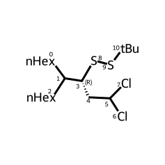 CCCCCCC(CCCCCC)[C@@H](CC(Cl)Cl)SSC(C)(C)C